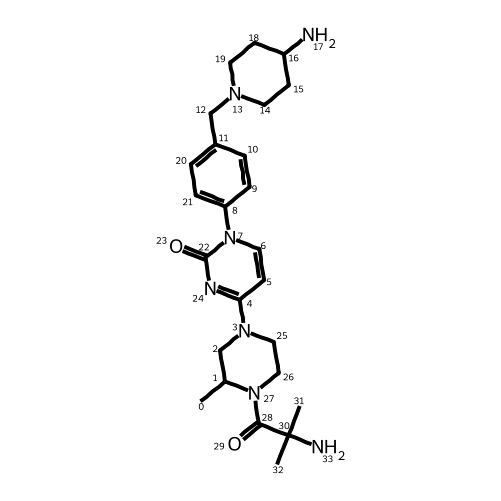 CC1CN(c2ccn(-c3ccc(CN4CCC(N)CC4)cc3)c(=O)n2)CCN1C(=O)C(C)(C)N